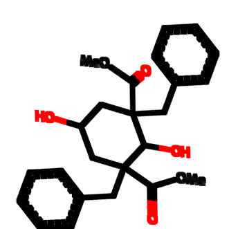 COC(=O)C1(Cc2ccccc2)CC(O)CC(Cc2ccccc2)(C(=O)OC)C1O